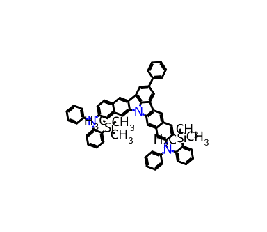 C[Si](C)(C)c1ccccc1N(c1ccccc1)c1ccc2cc3c4cc(-c5ccccc5)cc5c6cc7ccc(N(c8ccccc8)c8ccccc8[Si](C)(C)C)cc7cc6n(c3cc2c1)c45